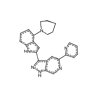 c1ccc(-c2cc3c(-c4cc5c(N6CCCCC6)cccc5[nH]4)n[nH]c3cn2)nc1